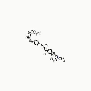 C/C(N)=C/NCc1ccc(NC(=O)OCc2ccc([C@H]3C[C@@H]3NCC3(C(=O)O)CC3)cc2)cc1